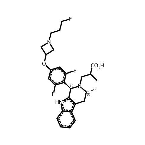 CC(CN1[C@H](c2c(F)cc(OC3CN(CCCF)C3)cc2F)c2[nH]c3ccccc3c2C[C@H]1C)C(=O)O